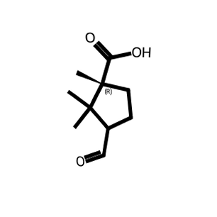 CC1(C)C(C=O)CC[C@@]1(C)C(=O)O